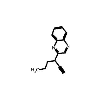 [C]#CC(CCC)c1cnc2ccccc2n1